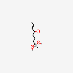 CC=CC(=O)CCC[Si](C)(OC)OC